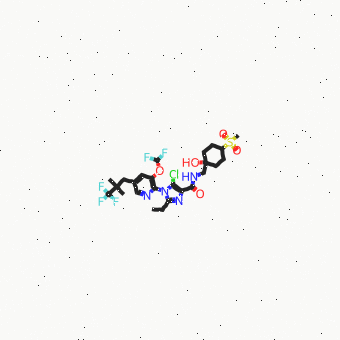 CCc1nc(C(=O)NCC2(O)CCC(S(C)(=O)=O)CC2)c(Cl)n1-c1ncc(CC(C)(C)C(F)(F)F)cc1OC(F)F